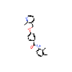 Cc1cccc(NC(=O)c2ccc(OCc3cccnc3C)cc2)c1C